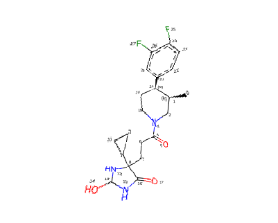 C[C@H]1CN(C(=O)CCC2(C3CC3)NC(O)NC2=O)CC[C@H]1c1ccc(F)c(F)c1